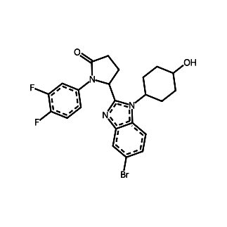 O=C1CCC(c2nc3cc(Br)ccc3n2C2CCC(O)CC2)N1c1ccc(F)c(F)c1